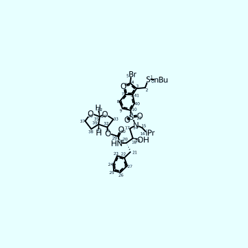 CCCCSCc1c(Br)oc2ccc(S(=O)(=O)N(CC(C)C)C[C@@H](O)[C@H](Cc3ccccc3)NC(=O)OC3CO[C@H]4OCC[C@@H]34)cc12